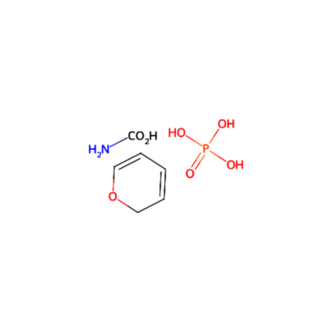 C1=CCOC=C1.NC(=O)O.O=P(O)(O)O